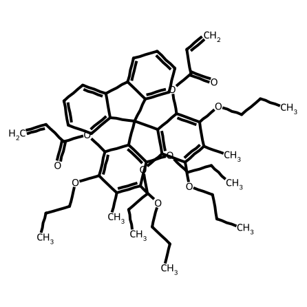 C=CC(=O)Oc1c(OCCC)c(C)c(OCCC)c(OCCC)c1C1(c2c(OCCC)c(OCCC)c(C)c(OCCC)c2OC(=O)C=C)c2ccccc2-c2ccccc21